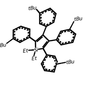 CC[Si]1(CC)C(c2cccc(C(C)(C)C)c2)=C(c2cccc(C(C)(C)C)c2)C(c2cccc(C(C)(C)C)c2)=C1c1cccc(C(C)(C)C)c1